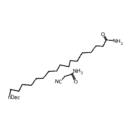 CCCCCCCCCCCCCCCCCCCCCCCCCCC(N)=O.N#CCC(N)=O